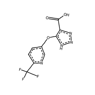 O=C(O)c1nn[nH]c1Oc1ccc(C(F)(F)F)nc1